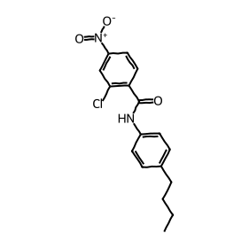 CCCCc1ccc(NC(=O)c2ccc([N+](=O)[O-])cc2Cl)cc1